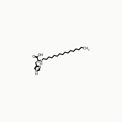 CCCCCCCCCCCCCCCCN[C@@H](Cc1c[nH]cn1)C(=O)O